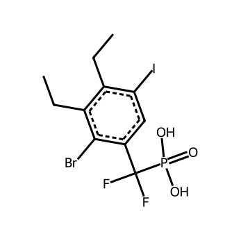 CCc1c(I)cc(C(F)(F)P(=O)(O)O)c(Br)c1CC